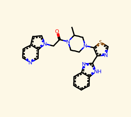 CC1CN(c2scnc2-c2nc3ccccc3[nH]2)CCN1C(=O)Cn1ccc2ccncc21